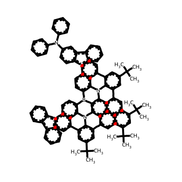 CC(C)(C)c1cc(-c2cc3c4c(c2)N(c2c(-c5ccccc5)cc(C(C)(C)C)cc2-c2ccccc2)c2cc(-n5c6ccccc6c6cc(N(c7ccccc7)c7ccccc7)ccc65)ccc2B4c2ccc(-n4c5ccccc5c5ccccc54)cc2N3c2c(-c3ccccc3)cc(C(C)(C)C)cc2-c2ccccc2)cc(C(C)(C)C)c1